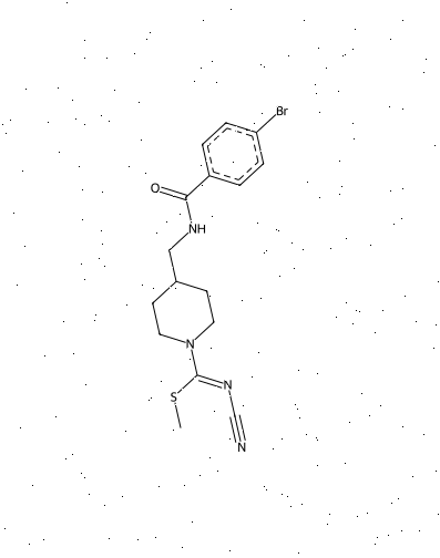 CS/C(=N\C#N)N1CCC(CNC(=O)c2ccc(Br)cc2)CC1